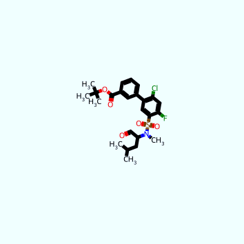 CC(C)CC(C=O)N(C)S(=O)(=O)c1cc(-c2cccc(C(=O)OC(C)(C)C)c2)c(Cl)cc1F